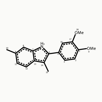 COc1ccc(-c2[nH]c3cc(C)ccc3c2C)cc1OC